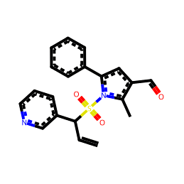 C=CC(c1cccnc1)S(=O)(=O)n1c(-c2ccccc2)cc(C=O)c1C